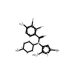 Cc1ccc(C(=O)N(c2cc(C(C)(C)C)sc2C(=O)O)C2CCC(O)CC2)c(F)c1F